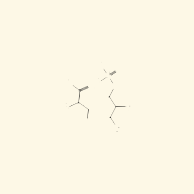 NC(CO)C(=O)O.O=P(O)(O)OCC(O)CO